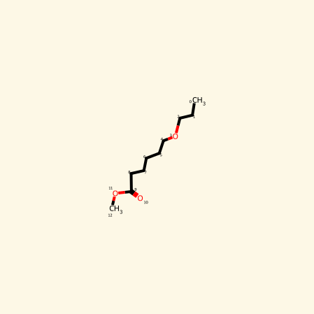 CCCOCCCCCC(=O)OC